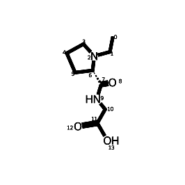 CCN1CCC[C@H]1C(=O)NCC(=O)O